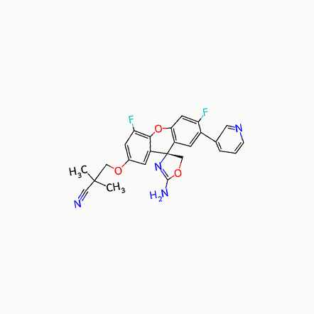 CC(C)(C#N)COc1cc(F)c2c(c1)[C@]1(COC(N)=N1)c1cc(-c3cccnc3)c(F)cc1O2